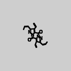 C=Cc1c(/C=C\C)nn2c(=O)c3c(C=C)c(/C=C\C)nn3c(=O)c12